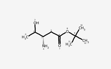 CC(O)[C@@H](N)CC(=O)OC(C)(C)C